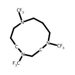 FC(F)(F)N1CCCN(C(F)(F)F)CCN(C(F)(F)F)CCC1